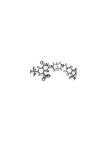 O=c1nc(N2CC3CN(Cc4ccc(C(F)(F)F)c(F)c4)CC3C2)sc2c([N+](=O)[O-])cc(C(F)(F)F)cc12